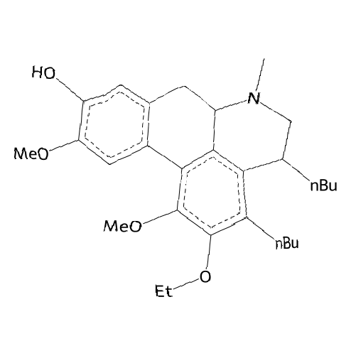 CCCCc1c(OCC)c(OC)c2c3c1C(CCCC)CN(C)C3Cc1cc(O)c(OC)cc1-2